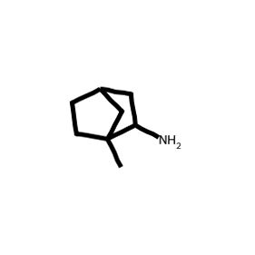 CC12CCC(CC1N)C2